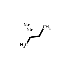 CCCC.[Na].[Na]